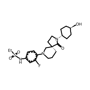 CCS(=O)(=O)Nc1ccc(N2CCC[C@@]3(CCN([C@H]4CC[C@H](O)CC4)C3=O)C2)c(F)c1